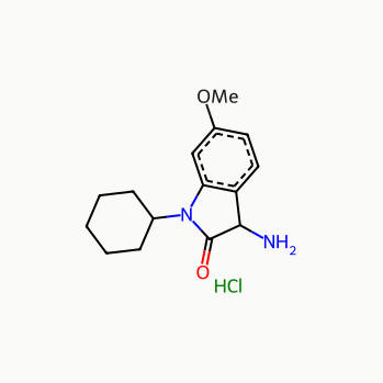 COc1ccc2c(c1)N(C1CCCCC1)C(=O)C2N.Cl